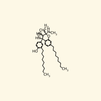 CCCCCCCCCc1ccc2c(c1)OC(CC)(NC)C(NC)C2(NC)c1ccc(O)c(CCCCCCCCC)c1